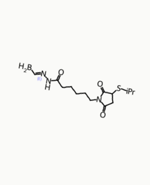 B/C=N/NC(=O)CCCCCN1C(=O)CC(SC(C)C)C1=O